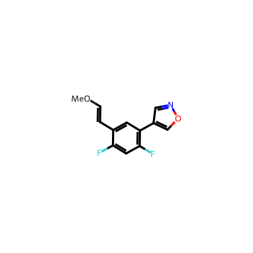 CO/C=C/c1cc(-c2cnoc2)c(F)cc1F